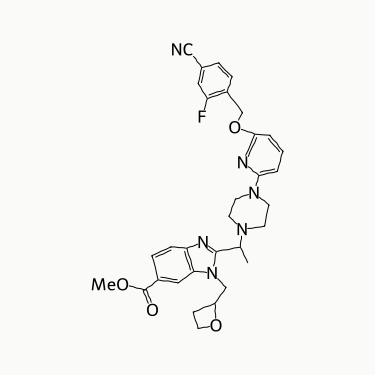 COC(=O)c1ccc2nc(C(C)N3CCN(c4cccc(OCc5ccc(C#N)cc5F)n4)CC3)n(CC3CCO3)c2c1